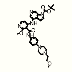 COCCN1CCN(c2ccc(NC(=O)c3c(Nc4cncc5c4ccn5C(=O)OC(C)(C)C)ccnc3OC)cc2)CC1